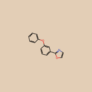 c1ccc(Oc2cccc(-c3ncco3)c2)cc1